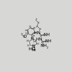 CCCCNC(=N)NC(=N)N.COc1ccccc1N1CCNCC1.Cl